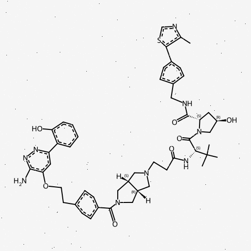 Cc1ncsc1-c1ccc(CNC(=O)[C@@H]2C[C@@H](O)CN2C(=O)[C@@H](NC(=O)CCN2C[C@@H]3CN(C(=O)c4ccc(CCOc5cc(-c6ccccc6O)nnc5N)cc4)C[C@@H]3C2)C(C)(C)C)cc1